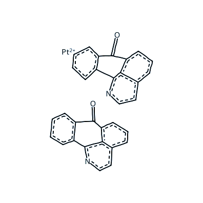 O=C1c2ccccc2-c2nccc3cccc1c23.O=C1c2ccccc2-c2nccc3cccc1c23.[Pt+2]